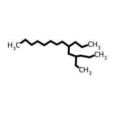 CCCCCCCCC(CCC)CC(CC)CCC